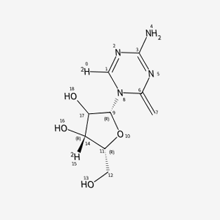 [2H]C1=NC(N)=NC(=C)N1[C@@H]1O[C@H](CO)[C@]([2H])(O)C1O